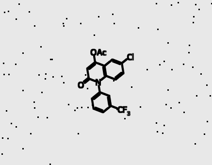 CC(=O)Oc1cc(=O)n(-c2cccc(C(F)(F)F)c2)c2ccc(Cl)cc12